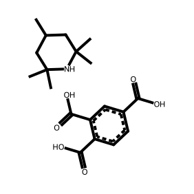 CC1CC(C)(C)NC(C)(C)C1.O=C(O)c1ccc(C(=O)O)c(C(=O)O)c1